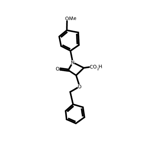 COc1ccc(N2C(=O)C(OCc3ccccc3)C2C(=O)O)cc1